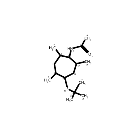 CC(=O)NC1C(C)CC(C)C(SC(C)(C)C)CC1C